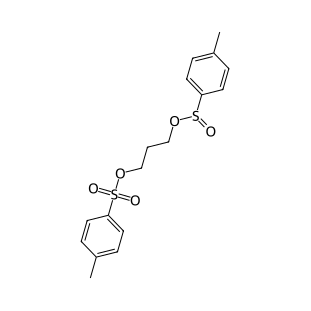 Cc1ccc(S(=O)OCCCOS(=O)(=O)c2ccc(C)cc2)cc1